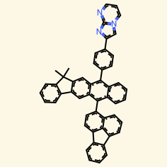 CC1(C)c2ccccc2-c2cc3c(-c4ccc5c6c(cccc46)-c4ccccc4-5)c4ccccc4c(-c4ccc(-c5cn6cccnc6n5)cc4)c3cc21